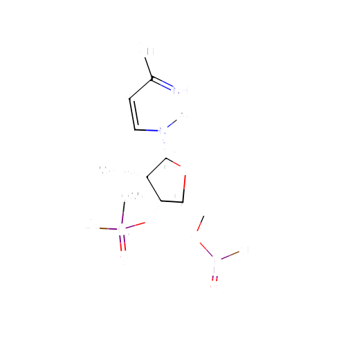 CO[C@H]1[C@@H](OP(=O)(S)OC)[C@@H](CO[PH](=O)S)O[C@H]1N(/C=C\C(C)=N)C(C)=O